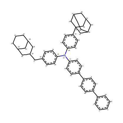 c1ccc(-c2ccc(-c3ccc(N(c4ccc(CC5CC6CCCC(C6)C5)cc4)c4ccc(C56CC7CC(CC(C7)C5)C6)cc4)cc3)cc2)cc1